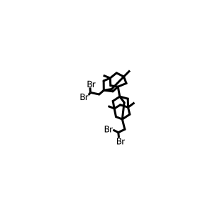 CC12CC3(C)CC(CC(Br)Br)(C1)CC(C14CC5(C)CC(C)(CC(CC(Br)Br)(C5)C1)C4)(C2)C3